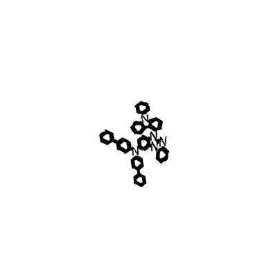 c1ccc(-c2ccc(N(c3ccc(-c4ccccc4)cc3)c3ccc4c(c3)n3c5ccccc5nc3n4-c3cccc4c3c3ccccc3n4-c3ccccc3)cc2)cc1